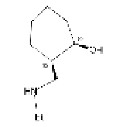 CCNC[C@H]1CCCC[C@H]1O